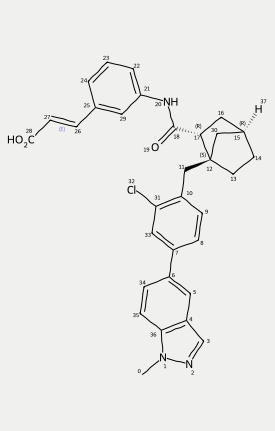 Cn1ncc2cc(-c3ccc(C[C@@]45CC[C@H](C[C@H]4C(=O)Nc4cccc(/C=C/C(=O)O)c4)C5)c(Cl)c3)ccc21